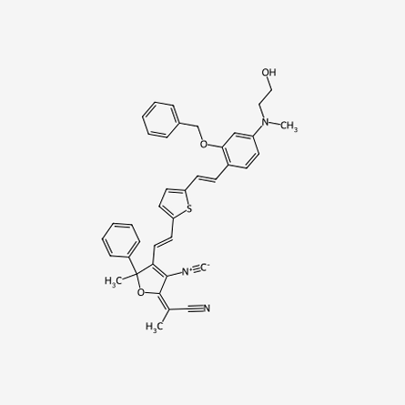 [C-]#[N+]C1=C(/C=C/c2ccc(/C=C/c3ccc(N(C)CCO)cc3OCc3ccccc3)s2)C(C)(c2ccccc2)O/C1=C(\C)C#N